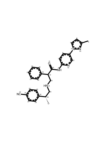 Cc1ccn(-c2ccc(NC(=O)C(CNC[C@H](C)c3ccc(C#N)cc3)c3ccccc3)nc2)n1